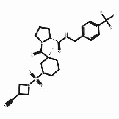 N#CC1CN(S(=O)(=O)N2CCC[C@](F)(C(=O)N3CCC[C@@H]3C(=O)NCc3ccc(C(F)(F)F)cc3)C2)C1